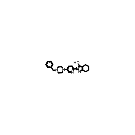 Oc1c2c(nn1-c1ccc(N3CCN(Cc4ccccc4)CC3)cn1)CCCC2